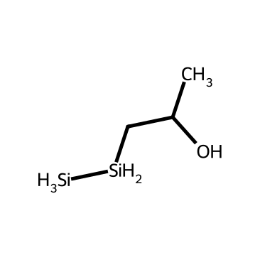 CC(O)C[SiH2][SiH3]